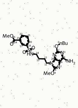 CCCCOc1nc(N)c2nc(OC)n(CCCCNS(=O)(=O)c3cccc(C(=O)OC)c3)c2n1